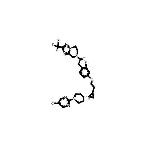 O=C(Cc1ccc(OCCC2C[C@@H]2C2CCN(c3ncc(Cl)cn3)CC2)cc1F)N1CCn2nc(C(F)(F)F)nc2C1